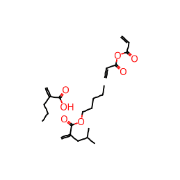 C=C(CC(C)C)C(=O)OCCCCC.C=C(CCC)C(=O)O.C=CC(=O)OC(=O)C=C